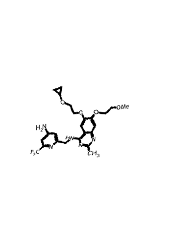 COCCOc1cc2nc(C)nc(NCc3cc(N)cc(C(F)(F)F)n3)c2cc1OCCOC1CC1